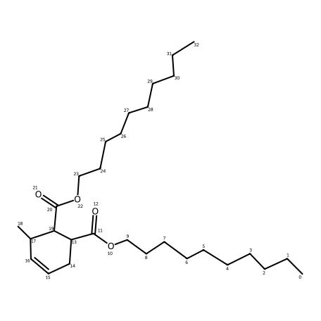 CCCCCCCCCCOC(=O)C1CC=CC(C)C1C(=O)OCCCCCCCCCC